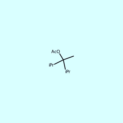 CC(=O)OC(C)(C(C)C)C(C)C